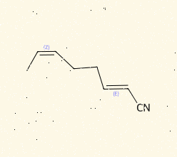 C/C=C\CC/C=C/C#N